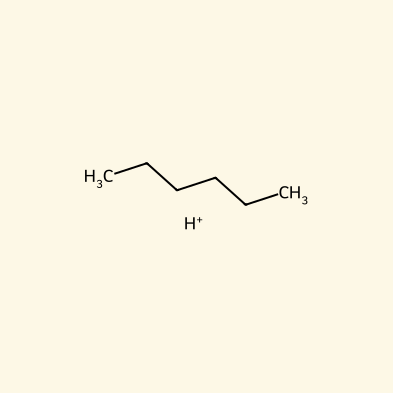 CCCCCC.[H+]